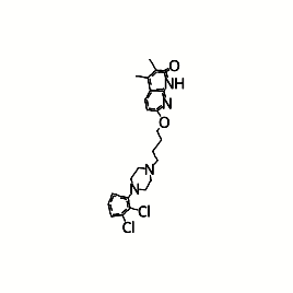 Cc1c(C)c2ccc(OCCCCN3CCN(c4cccc(Cl)c4Cl)CC3)nc2[nH]c1=O